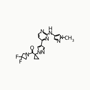 Cn1cc(Nc2nccc(-c3cnn(C4(C(=O)N5CC(F)(F)C5)CC4)c3)n2)cn1